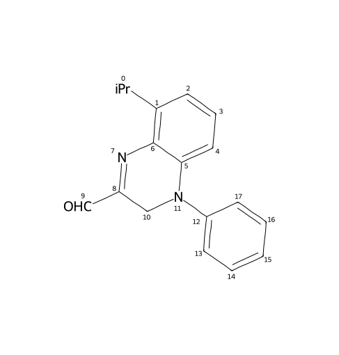 CC(C)c1cccc2c1N=C(C=O)CN2c1ccccc1